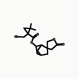 CC(C)(C)CC1(C(=O)OC2CC3CC2C2(COC(=O)C2)C3)CC1(C)C